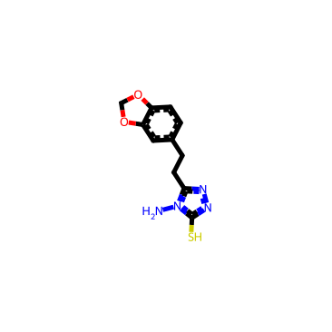 Nn1c(S)nnc1CCc1ccc2c(c1)OCO2